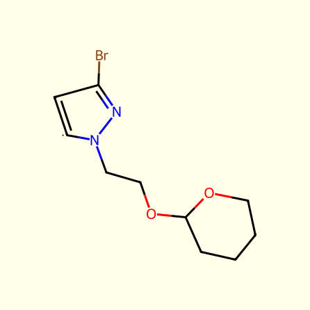 Brc1c[c]n(CCOC2CCCCO2)n1